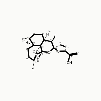 C=C(O)CO[C@@]1(CF)O[C@@H]2O[C@]3(C)CC[C@H]4[C@H](C)CC[C@@H]([C@H]1C)[C@@]24OO3